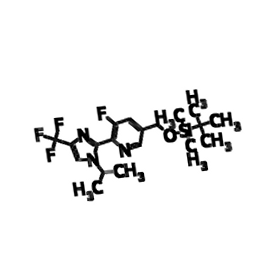 CC(C)n1cc(C(F)(F)F)nc1-c1ncc(CO[Si](C)(C)C(C)(C)C)cc1F